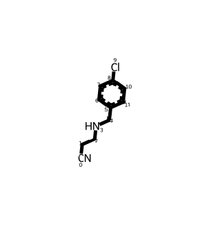 N#CCCNCc1ccc(Cl)cc1